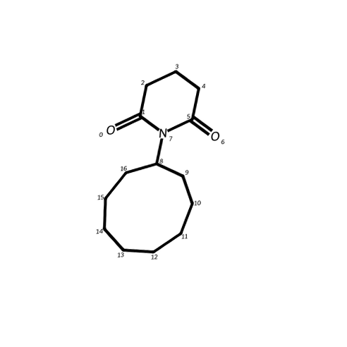 O=C1CCCC(=O)N1C1CCCCCCCC1